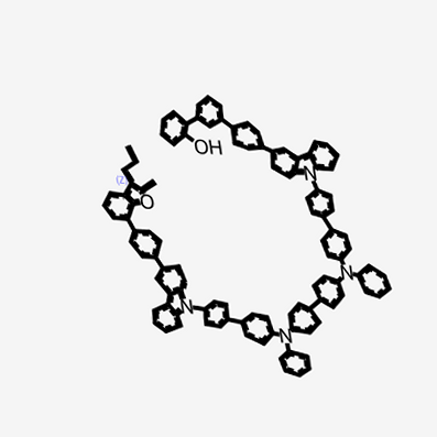 C=C/C=c1\c(=C)oc2c(-c3ccc(-c4ccc5c(c4)c4ccccc4n5-c4ccc(-c5ccc(N(c6ccccc6)c6ccc(-c7ccc(N(c8ccccc8)c8ccc(-c9ccc(-n%10c%11ccccc%11c%11cc(-c%12ccc(-c%13cccc(-c%14ccccc%14O)c%13)cc%12)ccc%11%10)cc9)cc8)cc7)cc6)cc5)cc4)cc3)cccc12